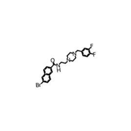 O=C(NCCN1CCN(Cc2ccc(F)c(F)c2)CC1)c1ccc2cc(Br)ccc2c1